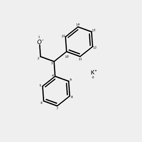 [K+].[O-]CC(c1ccccc1)c1ccccc1